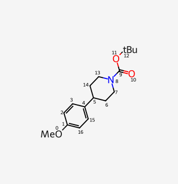 COc1ccc(C2CCN(C(=O)OC(C)(C)C)CC2)cc1